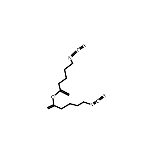 C=C(CCCCN=C=S)OC(=C)CCCCN=C=S